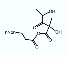 CCCCCCCCCCCC(=O)OC(=O)C(C)(O)C(=O)C(C)O